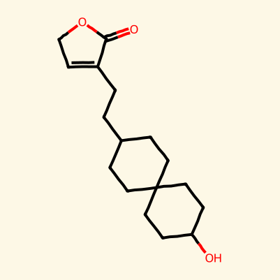 O=C1OCC=C1CCC1CCC2(CCC(O)CC2)CC1